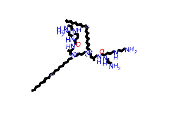 CCCCCCCC/C=C\CCCCCCCC[N+](C)(CCCC[N+](C)(CCCCCCCC/C=C/CCCCCCCC)CC(C)CNC(=O)C(CCCNCCCN)NCCCN)CCC(C)CNC(=O)C(CCCNCCCN)NCCCN